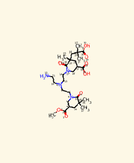 COC(=O)C1CN(CCN(CCN)CCN2CC(C(=O)O)CC(C)(CC(C)(C)C(=O)O)C2=O)C(=O)C(C)(C)C1